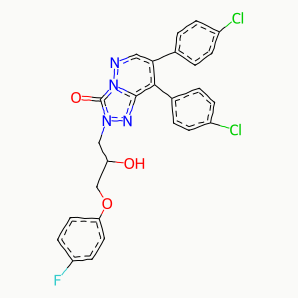 O=c1n(CC(O)COc2ccc(F)cc2)nc2c(-c3ccc(Cl)cc3)c(-c3ccc(Cl)cc3)cnn12